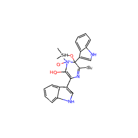 C[SiH](C)OC1(c2c[nH]c3ccccc23)C(C(C)(C)C)=NC(c2c[nH]c3ccccc23)=C(O)[N+]1(C)[O-]